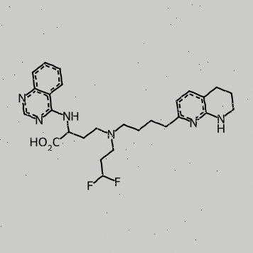 O=C(O)C(CCN(CCCCc1ccc2c(n1)NCCC2)CCC(F)F)Nc1ncnc2ccccc12